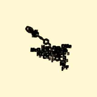 COC(=O)N[C@H](C(=O)N[C@@H](Cc1ccc(C#Cc2cnc(N3CC4CCC(C3)N4C3COC3)nc2)cc1)[C@H](CN(Cc1c(F)cc(-c2ccn(C(F)F)n2)cc1F)NC(=O)[C@@H](NC(=O)OC)C(C)(C)C(F)(F)F)OC(=O)OCCl)C(C)(C)C(F)(F)F